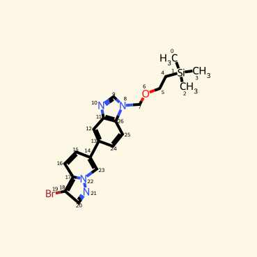 C[Si](C)(C)CCOCn1cnc2cc(-c3ccc4c(Br)cnn4c3)ccc21